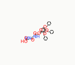 O=C(O)CNC(=O)CNC(=O)COC[C@H]1OC[C@H](OCc2ccccc2)[C@@H](OCc2ccccc2)[C@@H]1OCc1ccccc1